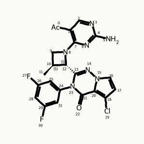 CC(=O)c1cnc(N)nc1N1C[C@H](C)[C@H]1c1nn2ccc(Cl)c2c(=O)n1-c1cc(F)cc(F)c1